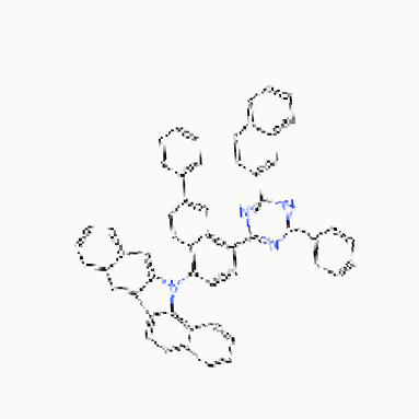 c1ccc(-c2ccc3c(-n4c5cc6ccccc6cc5c5ccc6ccccc6c54)ccc(-c4nc(-c5ccccc5)nc(-c5ccc6ccccc6c5)n4)c3c2)cc1